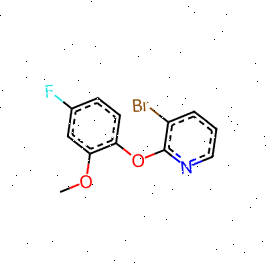 COc1cc(F)ccc1Oc1ncccc1Br